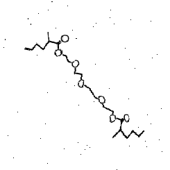 CCCCC(C)C(=O)OCCOCCOCCOCCOC(=O)C(C)CCCC